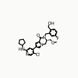 COC[C@H]1Cn2cc(-c3cc(NC4CCCC4)ncc3Cl)cc2C(=O)N1Cc1cc(F)ccc1CO